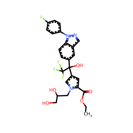 CCOC(=O)c1cc(C(O)(c2ccc3c(cnn3-c3ccc(F)cc3)c2)C(F)(F)F)cn1CC(O)CO